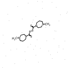 CN1CCCN(C(=S)SSC(=S)N2CCCN(C)CC2)CC1